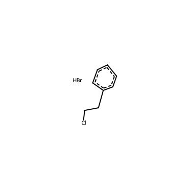 Br.ClCCc1ccccc1